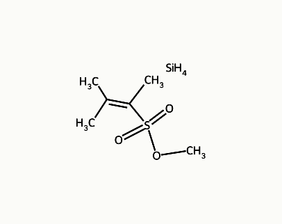 COS(=O)(=O)C(C)=C(C)C.[SiH4]